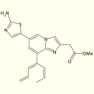 C=C/C=C(\C=C/C)c1cc(-c2cnc(N)s2)cn2cc(CC(=O)OC)nc12